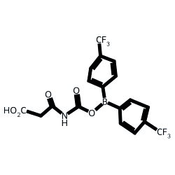 O=C(O)CC(=O)NC(=O)OB(c1ccc(C(F)(F)F)cc1)c1ccc(C(F)(F)F)cc1